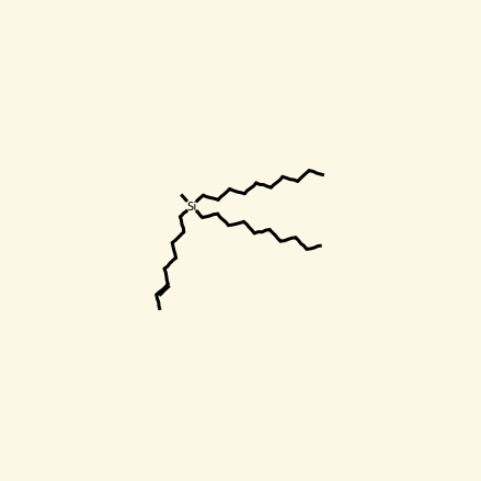 CC=CCCCCC[Si](C)(CCCCCCCCCC)CCCCCCCCCC